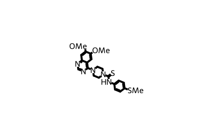 COc1cc2ncnc(N3CCN(C(=S)Nc4ccc(SC)cc4)CC3)c2cc1OC